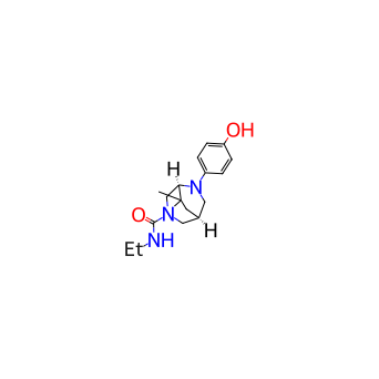 CCNC(=O)N1C[C@@H]2CN(c3ccc(O)cc3)[C@H](C1)C(C)(C)C2